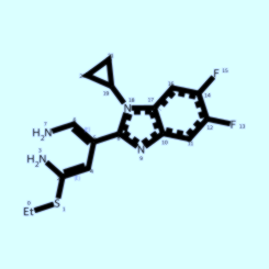 CCS/C(N)=C/C(=C\N)c1nc2cc(F)c(F)cc2n1C1CC1